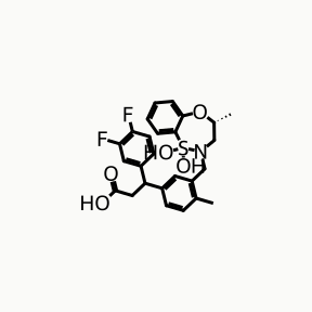 Cc1ccc(C(CC(=O)O)c2ccc(F)c(F)c2)cc1CN1C[C@@H](C)Oc2ccccc2S1(O)O